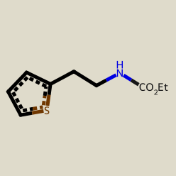 CCOC(=O)NCCc1cccs1